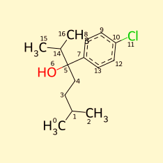 CC(C)CCC(O)(c1ccc(Cl)cc1)C(C)C